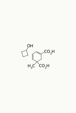 CC1(C(=O)O)C=CC=C(C(=O)O)C1.OC1CCC1